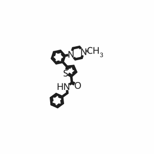 CN1CCN(c2ccccc2-c2ccc(C(=O)NCc3ccccc3)s2)CC1